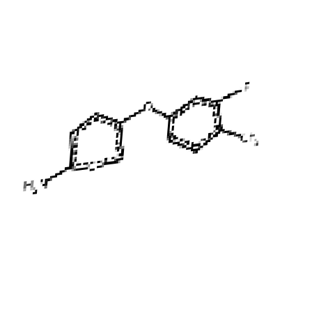 Nc1ccc(Oc2ccc(C(F)(F)F)c(F)c2)cc1